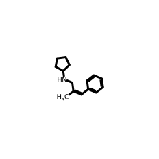 CC(=Cc1ccccc1)CNC1CCCC1